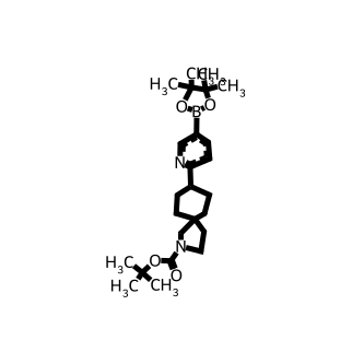 CC(C)(C)OC(=O)N1CCC2(CCC(c3ccc(B4OC(C)(C)C(C)(C)O4)cn3)CC2)C1